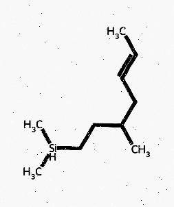 CC=CCC(C)CC[SiH](C)C